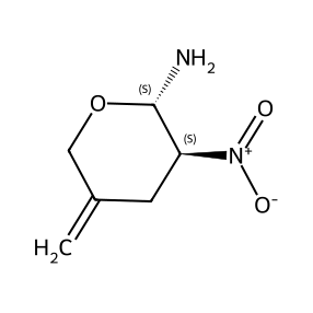 C=C1CO[C@H](N)[C@@H]([N+](=O)[O-])C1